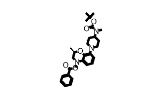 C[C@@H]1CN(OC(=O)c2ccccc2)c2cccc(N3CCC(N(C)C(=O)OC(C)(C)C)CC3)c2O1